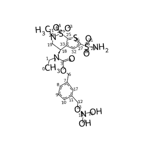 CCN(C(=O)OCc1cccc(CON(O)O)c1)[C@H]1CN(C)S(=O)(=O)c2sc(S(N)(=O)=O)cc21